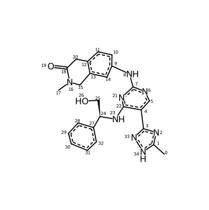 Cc1nc(-c2cnc(Nc3ccc4c(c3)CN(C)C(=O)C4)nc2N[C@H](CO)c2ccccc2)n[nH]1